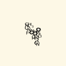 CN1CCCN(c2nc3c(cc2F)c(=O)c(C(=O)NCC2C=CC=NC2)c2sc4ccccc4n23)CC1